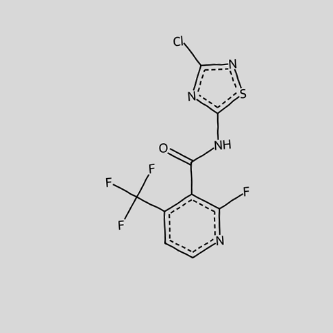 O=C(Nc1nc(Cl)ns1)c1c(C(F)(F)F)ccnc1F